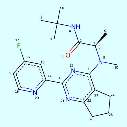 C[C@H](C(=O)NC(C)(C)C)N(C)c1nc(-c2cc(F)ccn2)nc2c1CCC2